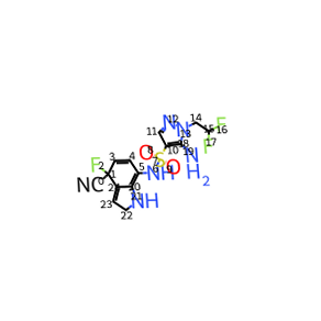 N#CC1(F)C=CC(NS(=O)(=O)c2cnn(CC(F)F)c2N)=C2NCC=C21